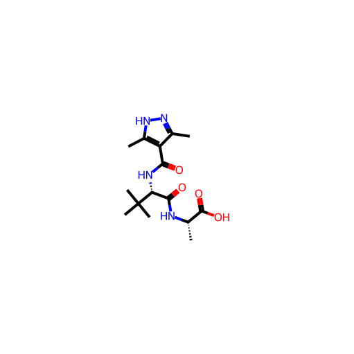 Cc1n[nH]c(C)c1C(=O)N[C@H](C(=O)N[C@@H](C)C(=O)O)C(C)(C)C